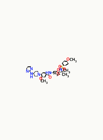 COc1ccc(S(=O)(=O)N(OC(=O)CCNC(=O)c2ccc(N3CCC(Nc4ncccn4)CC3)c(OC)c2)C(C)(C)C)cc1